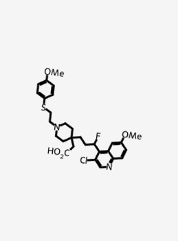 COc1ccc(SCCN2CCC(CCC(F)c3c(Cl)cnc4ccc(OC)cc34)(CC(=O)O)CC2)cc1